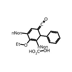 CCCCCCCCCC1=CC(=C=O)C(c2ccccc2)C(CCCCCCCCC)=C1OCC.O=C(O)O